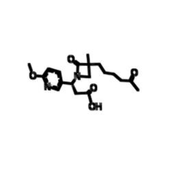 COc1ccc([C@H](CC(=O)O)N2CC(C)(CCCCC(C)=O)C2=O)cn1